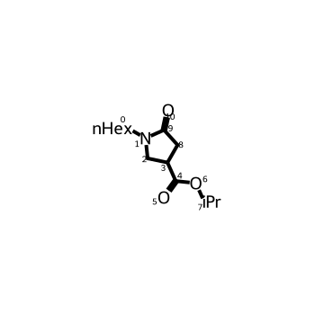 CCCCCCN1CC(C(=O)OC(C)C)CC1=O